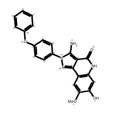 COc1cc2c(cc1O)[nH]c(=O)c1c(N)n(-c3ccc(Oc4ccccc4)cc3)nc12